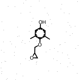 Cc1cc(O)cc(C)c1OCC1CO1